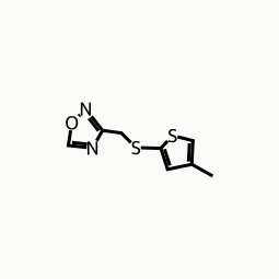 Cc1csc(SCc2ncon2)c1